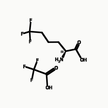 N[C@@H](CCCC(F)(F)F)C(=O)O.O=C(O)C(F)(F)F